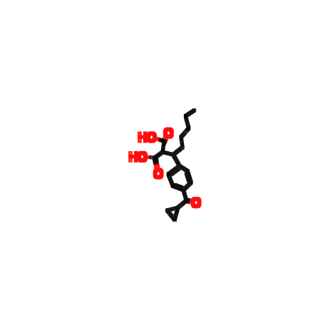 CCCCCC(c1ccc(C(=O)C2CC2)cc1)C(C(=O)O)C(=O)O